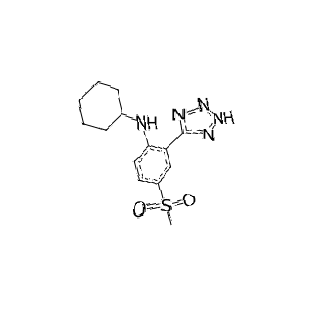 CS(=O)(=O)c1ccc(NC2CCCCC2)c(-c2nn[nH]n2)c1